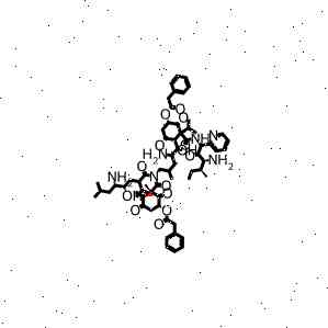 CC[C@H](C)[C@H](N)C(=O)C(NC(=O)C1(C(C)C)C(=O)[C@@H](OC(=O)Cc2ccccc2)CC(=O)C1C(O)C(N)CC(C)CN(C(=O)C(C[C@H](O)[C@@H](N)CC(C)C)C(C)C)C(=O)[C@]1(C)C(=O)[C@@H](OC(=O)Cc2ccccc2)CC(=O)C1C)c1ccccn1